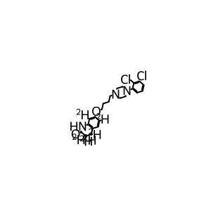 [2H]c1cc2c(c([2H])c1OCCCCN1CCN(c3cccc(Cl)c3Cl)CC1)NC(=O)C([2H])([2H])C2([2H])[2H]